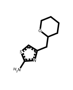 Nc1nc(CC2CCCCO2)cs1